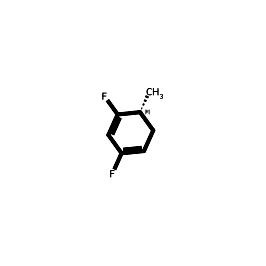 C[C@@H]1CC=C(F)C=C1F